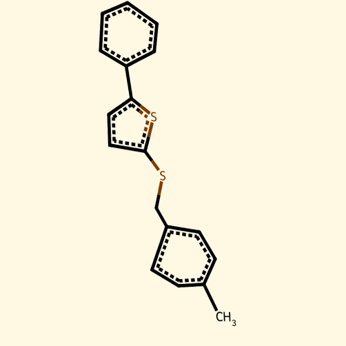 Cc1ccc(CSc2ccc(-c3ccccc3)s2)cc1